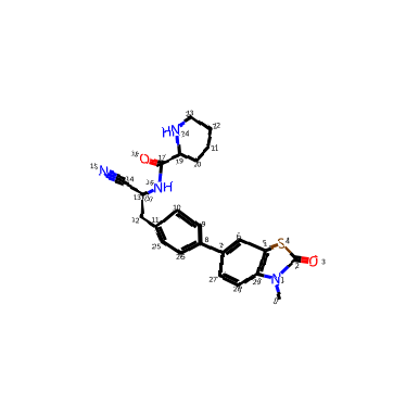 Cn1c(=O)sc2cc(-c3ccc(C[C@@H](C#N)NC(=O)C4CCCCN4)cc3)ccc21